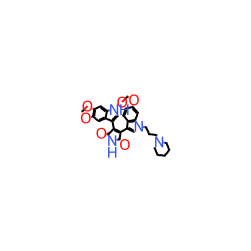 O=C1NC(=O)C(c2cn(CCCN3CCCCC3)c3cc4c(cc23)OCO4)=C1c1c[nH]c2cc3c(cc12)OCO3